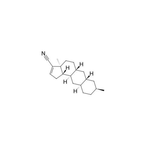 C[C@H]1CC[C@H]2C[C@@H]3[C@H](CC[C@]4(C)C(C#N)=CC[C@@H]34)C[C@@H]2C1